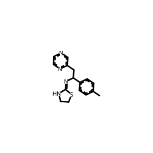 Cc1ccc(C(Cc2cnccn2)/N=C2/NCCS2)cc1